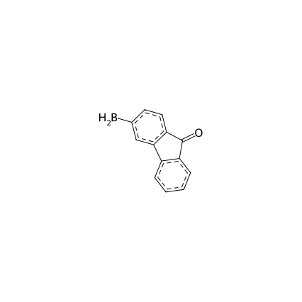 Bc1ccc2c(c1)-c1ccccc1C2=O